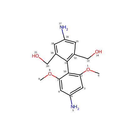 COc1cc(N)cc(OC)c1-c1c(CO)cc(N)cc1CO